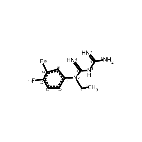 CCN(C(=N)NC(=N)N)c1ccc(F)c(F)c1